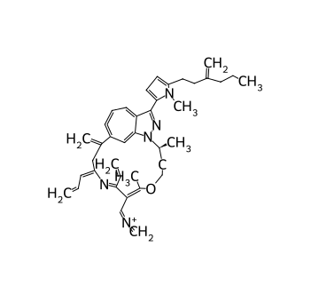 C=C/C=C1CC(=C)C2=C=CC=c3c(-c4ccc(CCC(=C)CCC)n4C)nn(c3=C2)[C@@H](C)CCO/C(C)=C(C=[N+]=C)/C(C=C)=N/1